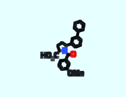 COc1cccc(C(=O)N2C(C(=O)O)CCC2c2cccc(-c3ccccc3)c2)c1